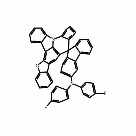 Fc1ccc(N(c2ccc(F)cc2)c2ccc3c(c2)-c2ccccc2C32c3ccccc3-n3c4ccccc4c4c5oc6ccccc6c5cc2c43)cc1